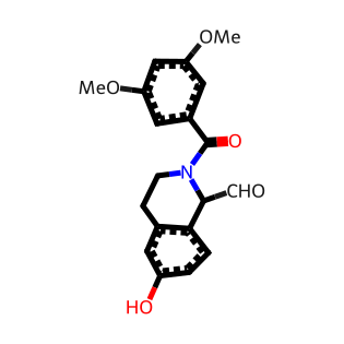 COc1cc(OC)cc(C(=O)N2CCc3cc(O)ccc3C2C=O)c1